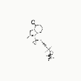 CC1=C(C2(CC#CC(C)(C)O[Si](C)(C)C)CC2)C2CCCC(=O)C2C1